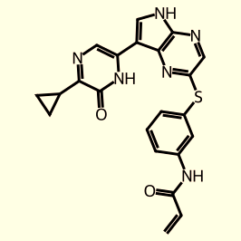 C=CC(=O)Nc1cccc(Sc2cnc3[nH]cc(-c4cnc(C5CC5)c(=O)[nH]4)c3n2)c1